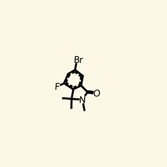 CN1C(=O)c2cc(Br)cc(F)c2C1(C)C